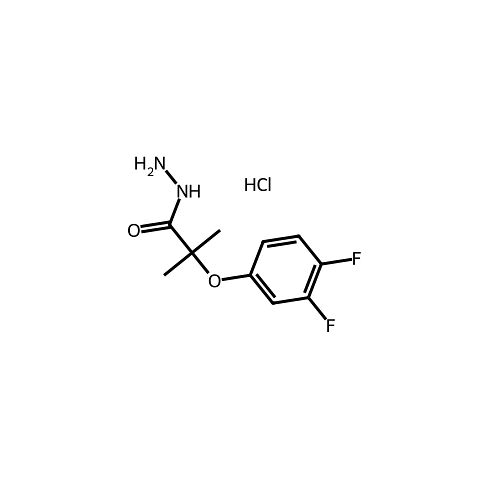 CC(C)(Oc1ccc(F)c(F)c1)C(=O)NN.Cl